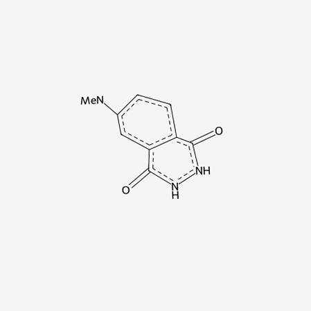 CNc1ccc2c(=O)[nH][nH]c(=O)c2c1